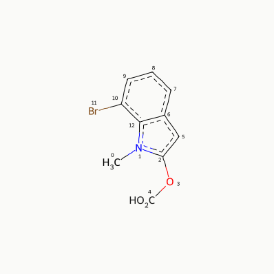 Cn1c(OC(=O)O)cc2cccc(Br)c21